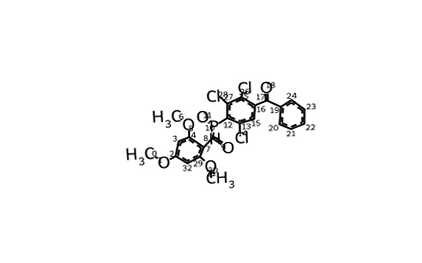 COc1cc(OC)c(C(=O)[PH](=O)c2c(Cl)cc(C(=O)c3ccccc3)c(Cl)c2Cl)c(OC)c1